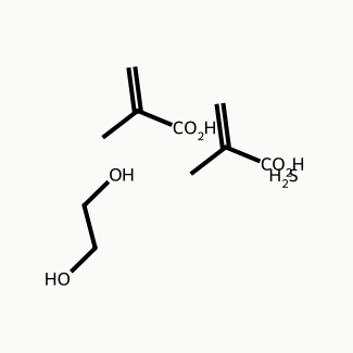 C=C(C)C(=O)O.C=C(C)C(=O)O.OCCO.S